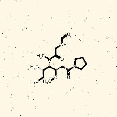 CC[C@H](C)[C@@H]([C@@H](CC(=O)N1CCCC1)OC)N(C)C(=O)CNC=O